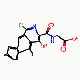 O=C(O)CNC(=O)c1nc(Cl)c2cc3ccccc3c(I)c2c1O